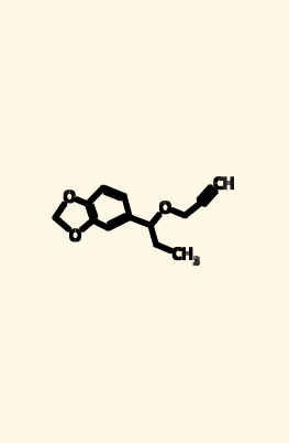 C#CCOC(CC)c1ccc2c(c1)OCO2